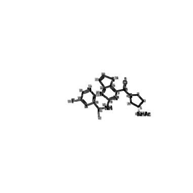 CC(=O)N[C@H]1CCN(C(=O)c2nc(NC(C)c3cncc(F)c3)nc3ccsc23)C1